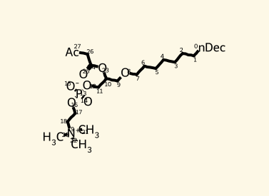 CCCCCCCCCCCCCCCCCOCC(COP(=O)([O-])OCC[N+](C)(C)C)OC(=O)CC(C)=O